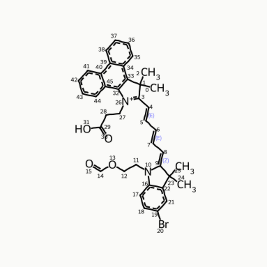 CC1(C)C(/C=C/C=C/C=C2\N(CCOC=O)c3ccc(Br)cc3C2(C)C)=[N+](CCC(=O)O)c2c1c1ccccc1c1ccccc21